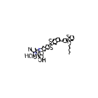 CCCCCCN1c2ccccc2Sc2cc(-c3ccc4cc5sc6c7cc8cc(/C=c9/s/c(=C(\C#N)C(=O)O)n(CC(=O)O)c9=O)ccc8cc7sc6c5cc4c3)ccc21